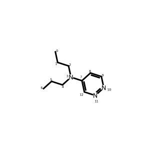 CCCN(CCC)c1ccnnc1